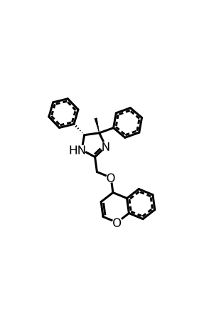 C[C@@]1(c2ccccc2)N=C(COC2C=COc3ccccc32)N[C@@H]1c1ccccc1